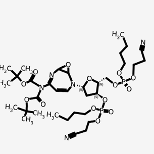 CCCCOP(=O)(OCCC#N)OC[C@H]1O[C@@H](N2C=CC(N(C(=O)OC(C)(C)C)C(=O)OC(C)(C)C)=NC3OC32)C[C@@H]1OP(=O)(OCCC#N)OCCCC